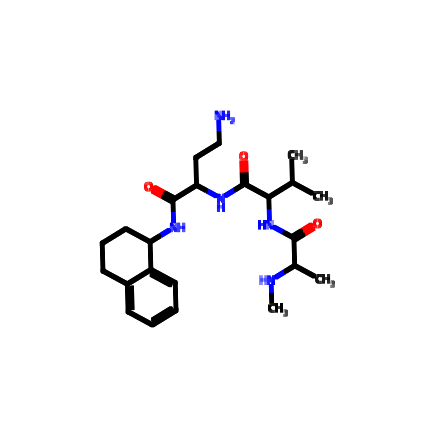 CNC(C)C(=O)NC(C(=O)NC(CCN)C(=O)NC1CCCc2ccccc21)C(C)C